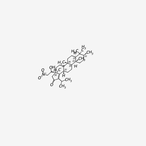 CC(C)C1=C2[C@H]3CC[C@@H]4[C@@]5(C)CC[C@H](C)C(C)(C)[C@@H]5CC[C@@]4(C)[C@]3(C)CC[C@@]2(C(O)C[N+](=O)[O-])CC1=O